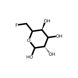 OC1OC(CF)[C@@H](O)C(O)[C@@H]1O